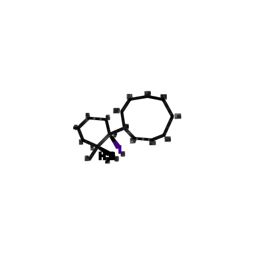 B[C@@]1(C)CCCC[C@]1(I)C1CCCCCCCC1